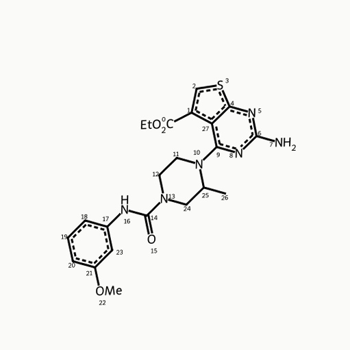 CCOC(=O)c1csc2nc(N)nc(N3CCN(C(=O)Nc4cccc(OC)c4)CC3C)c12